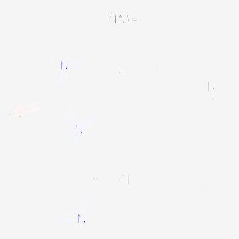 CNc1nc(=O)n(-c2cccnc2Cl)c2cc(C3CC3)c(Br)cc12